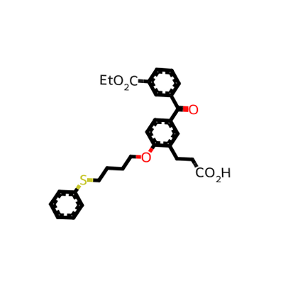 CCOC(=O)c1cccc(C(=O)c2ccc(OCCCCSc3ccccc3)c(CCC(=O)O)c2)c1